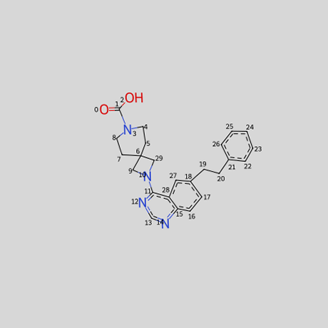 O=C(O)N1CCC2(CC1)CN(c1ncnc3ccc(CCc4ccccc4)cc13)C2